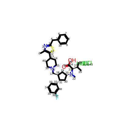 Cc1nc(Cc2ccccc2)sc1C1CCN(C[C@H]2C[C@H](N(C)[C@@H](C(=O)O)C(C)C)C[C@@H]2c2cccc(F)c2)CC1.Cl.Cl.Cl